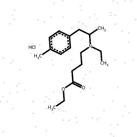 CCOC(=O)CCCN(CC)C(C)Cc1ccc(C)cc1.Cl